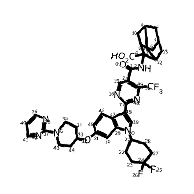 O=C(NC1(C(=O)O)C2CC3CC(C2)CC1C3)c1cnc(-c2cn(C3CCC(F)(F)CC3)c3cc(OC4CCN(c5ncccn5)CC4)ccc23)nc1C(F)(F)F